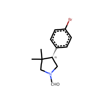 CC1(C)CN(C=O)C[C@H]1c1ccc(Br)cc1